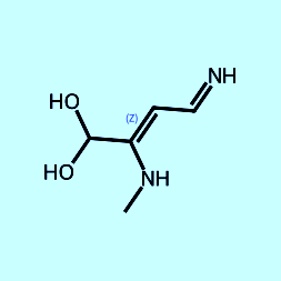 CN/C(=C\C=N)C(O)O